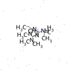 CCC/N=C(\N=C(N(C)C)N(C)C)NC(C)C